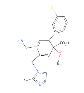 CCOC1(C(=O)O)C=C(Cn2ccnc2CC)C(CN)=CC1c1cccc(F)c1